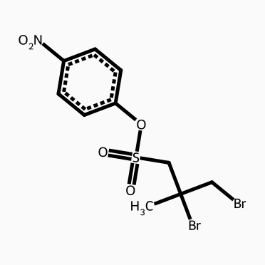 CC(Br)(CBr)CS(=O)(=O)Oc1ccc([N+](=O)[O-])cc1